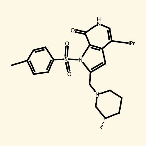 Cc1ccc(S(=O)(=O)n2c(CN3CCC[C@H](C)C3)cc3c(C(C)C)c[nH]c(=O)c32)cc1